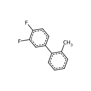 Cc1ccccc1-c1ccc(F)c(F)c1